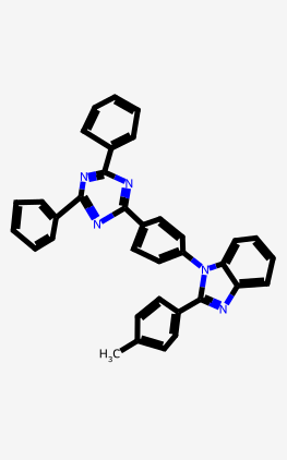 Cc1ccc(-c2nc3ccccc3n2-c2ccc(-c3nc(-c4ccccc4)nc(-c4ccccc4)n3)cc2)cc1